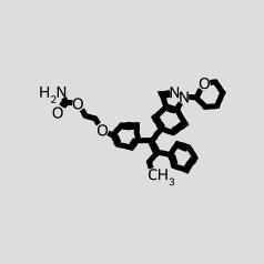 CCC(=C(c1ccc(OCCOC(N)=O)cc1)c1ccc2c(cnn2C2CCCCO2)c1)c1ccccc1